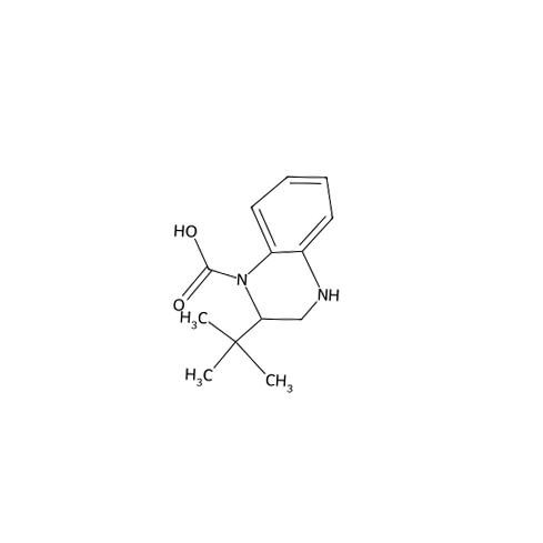 CC(C)(C)C1CNc2ccccc2N1C(=O)O